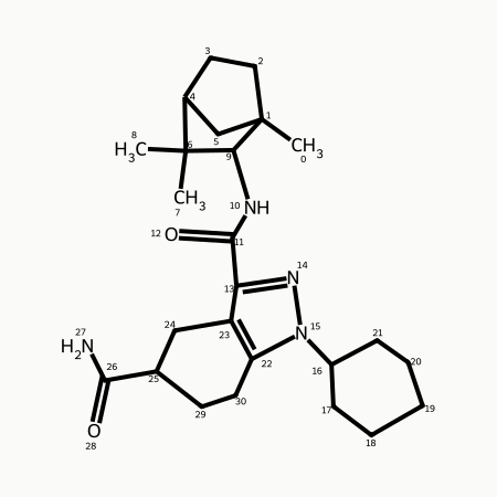 CC12CCC(C1)C(C)(C)C2NC(=O)c1nn(C2CCCCC2)c2c1CC(C(N)=O)CC2